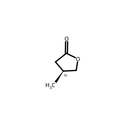 C[C@@H]1COC(=O)C1